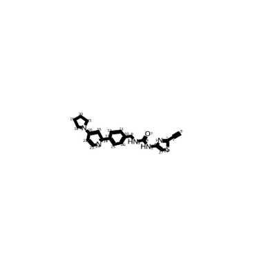 C#Cc1nc(NC(=O)NCc2ccc(-c3cc(N4CCCC4)ccn3)cc2)cs1